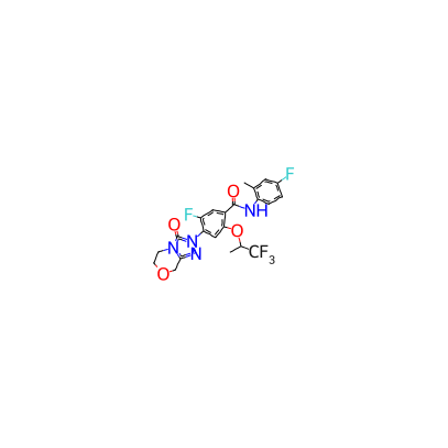 Cc1cc(F)ccc1NC(=O)c1cc(F)c(-n2nc3n(c2=O)CCOC3)cc1OC(C)C(F)(F)F